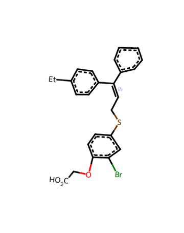 CCc1ccc(/C(=C\CSc2ccc(OCC(=O)O)c(Br)c2)c2ccccc2)cc1